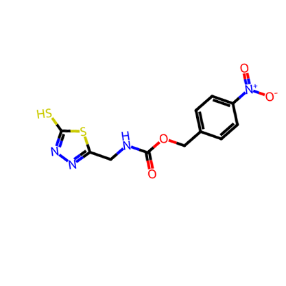 O=C(NCc1nnc(S)s1)OCc1ccc([N+](=O)[O-])cc1